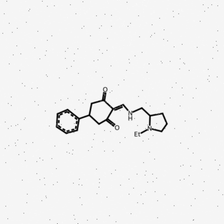 CCN1CCCC1CNC=C1C(=O)CC(c2ccccc2)CC1=O